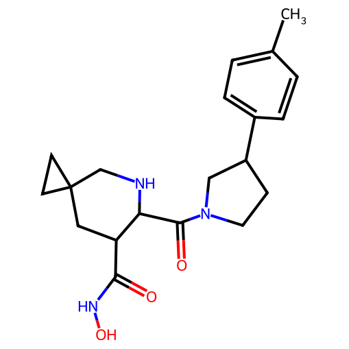 Cc1ccc(C2CCN(C(=O)C3NCC4(CC4)CC3C(=O)NO)C2)cc1